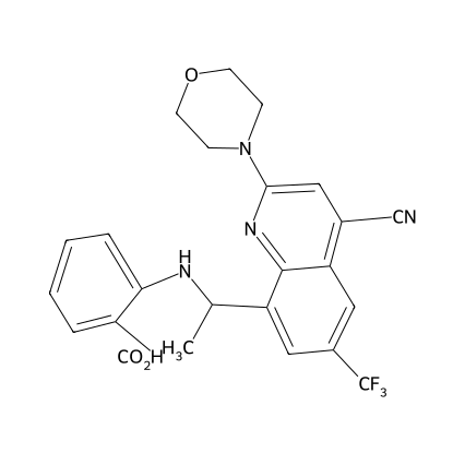 CC(Nc1ccccc1C(=O)O)c1cc(C(F)(F)F)cc2c(C#N)cc(N3CCOCC3)nc12